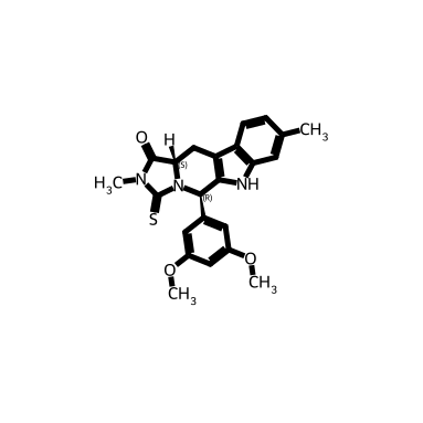 COc1cc(OC)cc([C@@H]2c3[nH]c4cc(C)ccc4c3C[C@H]3C(=O)N(C)C(=S)N23)c1